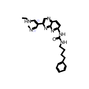 CCN/C=C(\C=N/C)c1cnc2ccc(NC(=O)NCCCCc3ccccc3)nc2n1